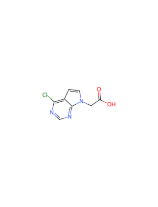 O=C(O)Cn1ccc2c(Cl)ncnc21